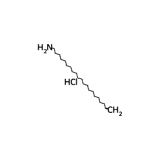 C=CCCCCCCCCCCCCCCCCCCCN.Cl